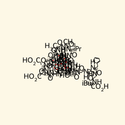 CC[C@H](C)[C@H](NC(=O)CNC(=O)[C@H](Cc1ccccc1)NC(=O)CNC(=O)CNC(=O)[C@H](CO)NC(=O)[C@H](CO)NC(=O)[C@@H](NC(=O)[C@@H]1CCCN1C(=O)[C@@H](NC(=O)CNC(=O)[C@H](CCC(=O)O)NC(=O)[C@H](CCC(=O)O)NC(=O)[C@H](CO)NC(=O)[C@H](CC(C)C)NC(=O)[C@@H](NC(=O)[C@H](CO)NC(=O)CNC(=O)[C@@H](NC(=O)[C@H](C)NC(=O)[C@H](C)NC(=O)[C@@H](N)CO)C(C)C)[C@@H](C)CC)C(C)C)[C@@H](C)CC)C(=O)O